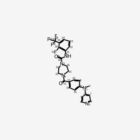 CN(c1ccncc1)c1ccc(C(=O)N2CCN(C(=O)Nc3cccc(C(F)(F)F)c3F)CC2)cc1